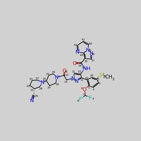 CSc1ccc(OC(F)F)c(-c2nn(CC(=O)N3CCC(N4CCC[C@@H](C#N)C4)CC3)cc2NC(=O)c2cnn3cccnc23)c1